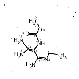 CC/N=C(/N)C(NC(=O)OC)=C(N)N